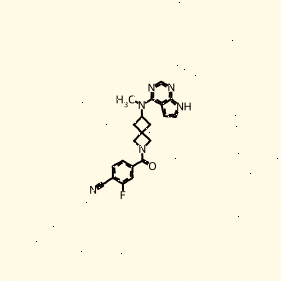 CN(c1ncnc2[nH]ccc12)C1CC2(C1)CN(C(=O)c1ccc(C#N)c(F)c1)C2